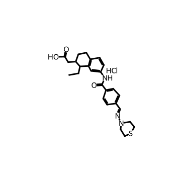 CCC1c2cc(NC(=O)c3ccc(C=NN4CCSCC4)cc3)ccc2CCC1CC(=O)O.Cl